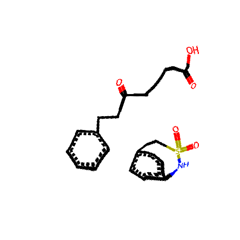 O=C(O)CCC(=O)CCc1ccccc1.O=S1(=O)Cc2ccc(cc2)N1